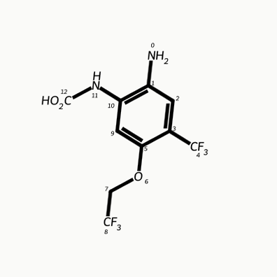 Nc1cc(C(F)(F)F)c(OCC(F)(F)F)cc1NC(=O)O